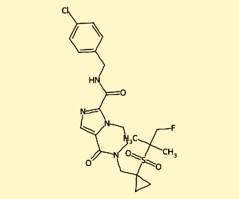 CC(C)(CF)S(=O)(=O)C1(CN2CCn3c(cnc3C(=O)NCc3ccc(Cl)cc3)C2=O)CC1